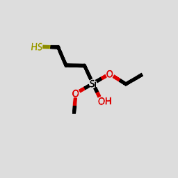 CCO[Si](O)(CCCS)OC